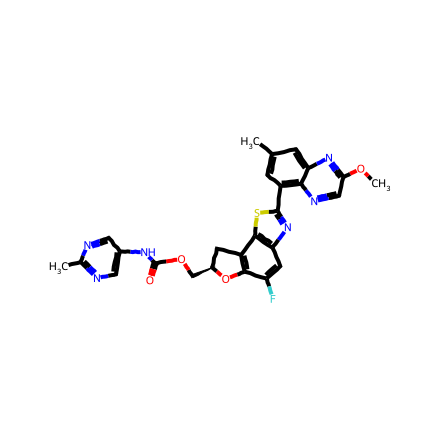 COc1cnc2c(-c3nc4cc(F)c5c(c4s3)C[C@H](COC(=O)Nc3cnc(C)nc3)O5)cc(C)cc2n1